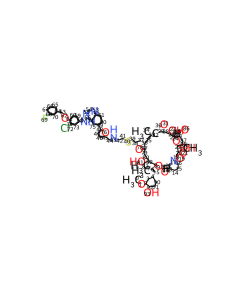 CO[C@@H]1C[C@H](/C=C(\C)[C@H]2OC(=O)[C@@H]3CCCCN3C(=O)C(=O)[C@]3(O)O[C@H]([C@@H](O)C[C@@H](C=O)C/C(C)=C/[C@@H](CCCSCCNCc4ccc(-c5ccc6ncnc(Nc7ccc(OCc8cccc(F)c8)c(Cl)c7)c6c5)o4)C(=O)C[C@H](O)[C@H]2C)[C@@H](C=O)C[C@H]3C)CC[C@H]1O